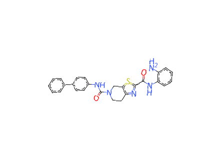 Nc1ccccc1NC(=O)c1nc2c(s1)CN(C(=O)Nc1ccc(-c3ccccc3)cc1)CC2